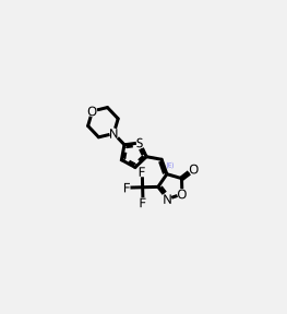 O=C1ON=C(C(F)(F)F)/C1=C\c1ccc(N2CCOCC2)s1